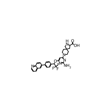 Nc1nc(OC(c2ccc(-c3ccc4ncccc4c3)cc2)C(F)(F)F)cc(N2CCC3(CC2)CNC(C(=O)O)C3)n1